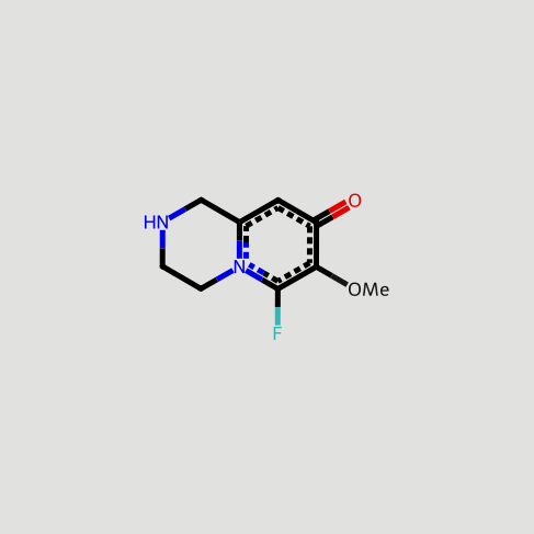 COc1c(F)n2c(cc1=O)CNCC2